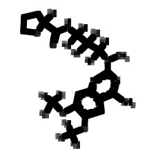 [2H]C([2H])([2H])Oc1cc2nc(N(C)C([2H])([2H])C([2H])([2H])C([2H])([2H])NC(=O)C3([2H])CCCO3)nc(N)c2cc1OC([2H])([2H])[2H]